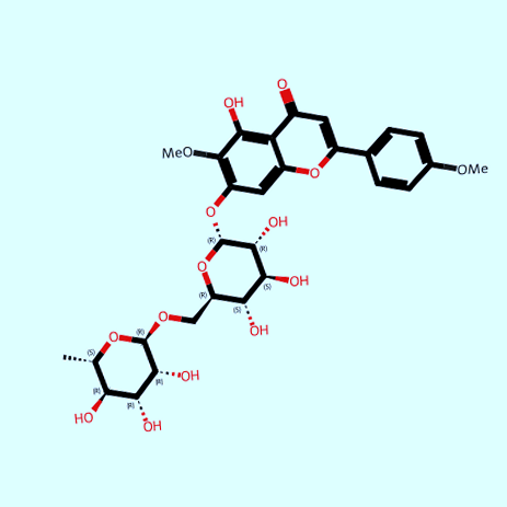 COc1ccc(-c2cc(=O)c3c(O)c(OC)c(O[C@H]4O[C@H](CO[C@@H]5O[C@@H](C)[C@H](O)[C@@H](O)[C@H]5O)[C@@H](O)[C@H](O)[C@H]4O)cc3o2)cc1